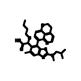 CCCCOC(C(=O)O)c1c(C)cc2nc(N(C)CC(C)C)sc2c1-c1ccc2c3c(ccnc13)CCO2